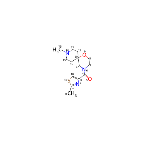 Cc1nc(C(=O)N2CCOC3(CCN(C)CC3)C2)cs1